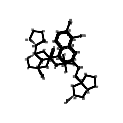 CC(C)(C)OC(=O)N1[C@H]2CC[C@]1([C@@H]1CCCO1)CN(c1nc(OC[C@@]34CCCN3C[C@H](F)C4)nc3c(F)c(Br)ccc13)C2